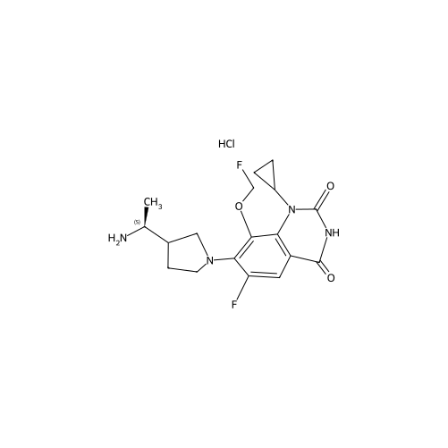 C[C@H](N)C1CCN(c2c(F)cc3c(=O)[nH]c(=O)n(C4CC4)c3c2OCF)C1.Cl